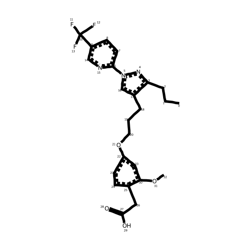 CCCc1nn(-c2ccc(C(F)(F)F)cn2)cc1CCCOc1ccc(CC(=O)O)c(OC)c1